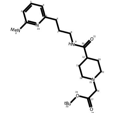 CNc1cccc(CCCNC(=O)C2CCN(CC(=O)OC(C)(C)C)CC2)n1